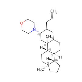 C=CCC1CC2CC[C@H]3[C@@H]4CCC[C@@]4(C)CC[C@@H]3[C@@]2(C)C[C@@H]1N1CCOCC1